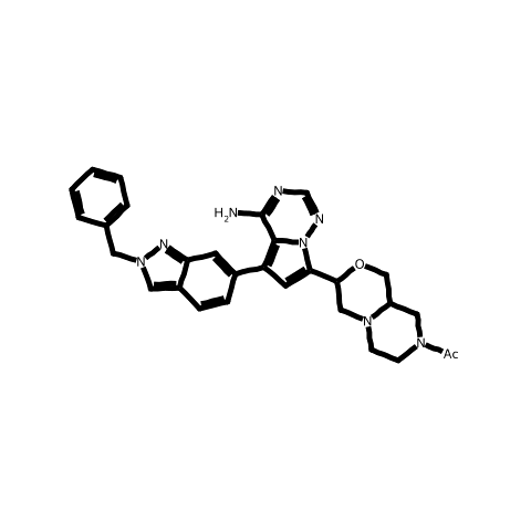 CC(=O)N1CCN2CC(c3cc(-c4ccc5cn(Cc6ccccc6)nc5c4)c4c(N)ncnn34)OCC2C1